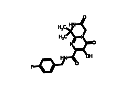 CC1(C)NC(=O)Cn2c1nc(C(=O)NCc1ccc(F)cc1)c(O)c2=O